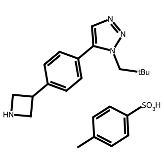 CC(C)(C)Cn1nncc1-c1ccc(C2CNC2)cc1.Cc1ccc(S(=O)(=O)O)cc1